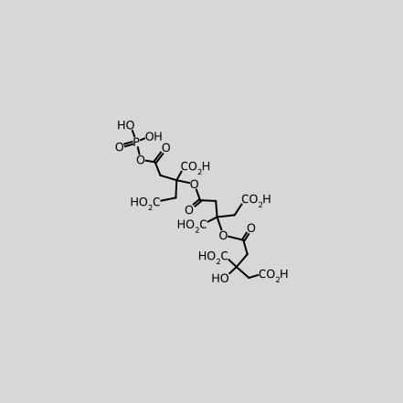 O=C(O)CC(O)(CC(=O)OC(CC(=O)O)(CC(=O)OC(CC(=O)O)(CC(=O)OP(=O)(O)O)C(=O)O)C(=O)O)C(=O)O